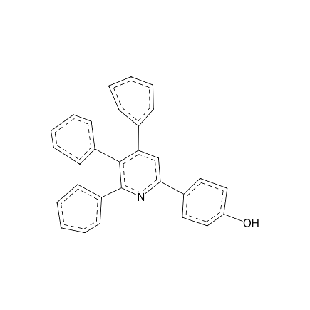 Oc1ccc(-c2cc(-c3ccccc3)c(-c3ccccc3)c(-c3ccccc3)n2)cc1